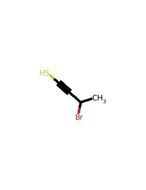 CC(Br)C#CS